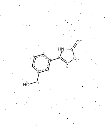 O=S1NC(c2cccc(CO)c2)=NO1